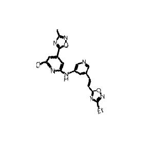 CCc1noc(/C=C/c2cncc(Nc3cc(-c4nc(C)no4)cc(Cl)n3)c2)n1